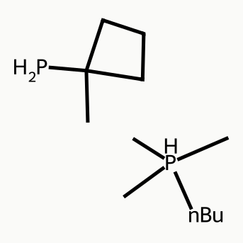 CC1(P)CCC1.CCCC[PH](C)(C)C